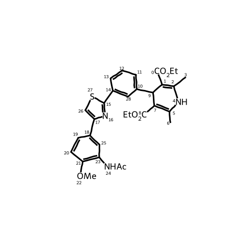 CCOC(=O)C1=C(C)NC(C)=C(C(=O)OCC)C1c1cccc(-c2nc(-c3ccc(OC)c(NC(C)=O)c3)cs2)c1